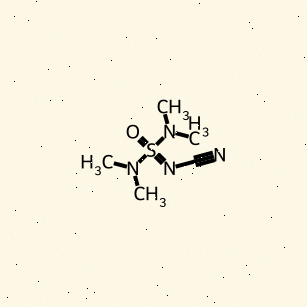 CN(C)S(=O)(=NC#N)N(C)C